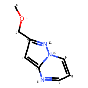 COCc1cc2ncccn2n1